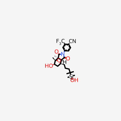 CC(C)(CCC[C@@]12C[C@@H](O)[C@@](C)(O1)[C@@]1(C)C(=O)N(c3ccc(C#N)c(C(F)(F)F)c3)C(=O)[C@@H]21)[Si](C)(C)O